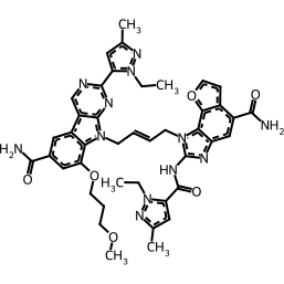 CCn1nc(C)cc1C(=O)Nc1nc2cc(C(N)=O)c3ccoc3c2n1C/C=C/Cn1c2nc(-c3cc(C)nn3CC)ncc2c2cc(C(N)=O)cc(OCCCOC)c21